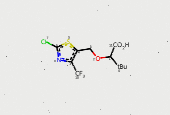 CC(C)(C)C(OCc1sc(Cl)nc1C(F)(F)F)C(=O)O